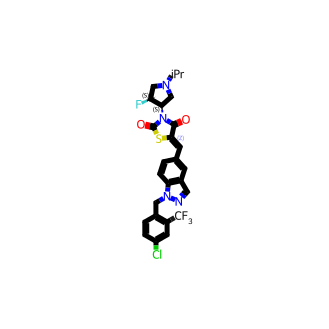 CC(C)N1C[C@H](F)[C@@H](N2C(=O)S/C(=C\c3ccc4c(cnn4Cc4ccc(Cl)cc4C(F)(F)F)c3)C2=O)C1